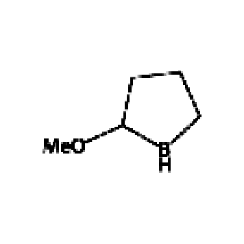 COC1BCCC1